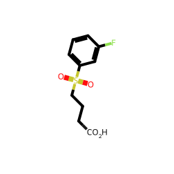 O=C(O)CCCS(=O)(=O)c1cccc(F)c1